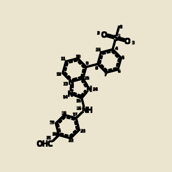 CS(=O)(=O)c1cccc(-c2cccn3nc(Nc4ccc(C=O)cc4)nc23)c1